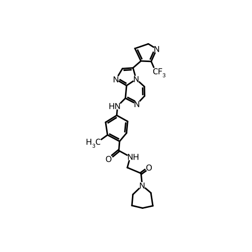 Cc1cc(Nc2nccn3c(C4=CCN=C4C(F)(F)F)cnc23)ccc1C(=O)NCC(=O)N1CCCCC1